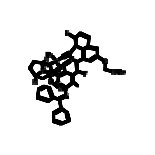 COCOc1cc(-c2ncc3c(N4C[C@H]5CC[C@@H](C4)N5C(=O)OC(C)(C)C)nc(N=C(c4ccccc4)c4ccccc4)c(C)c3c2F)c2c(C#C[Si](C(C)C)(C(C)C)C(C)C)c(F)ccc2c1